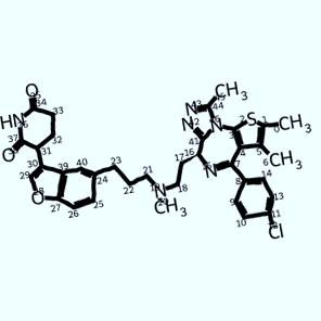 Cc1sc2c(c1C)C(c1ccc(Cl)cc1)=N[C@@H](CCN(C)CCCc1ccc3occ(C4CCC(=O)NC4=O)c3c1)c1nnc(C)n1-2